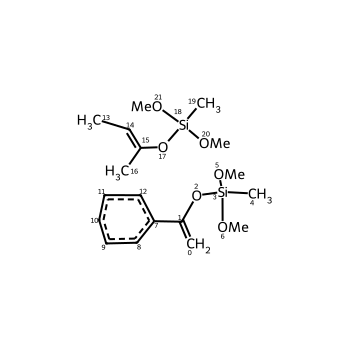 C=C(O[Si](C)(OC)OC)c1ccccc1.CC=C(C)O[Si](C)(OC)OC